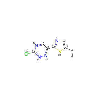 CCc1cnc(-c2cnc(Cl)nn2)s1